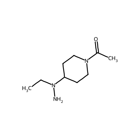 CCN(N)C1CCN(C(C)=O)CC1